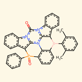 Cc1cccc(C)c1B1c2cccc3c2-n2c4c1c1ccccc1n4c(=O)n1c4ccccc4c(c21)P3(=O)c1ccccc1